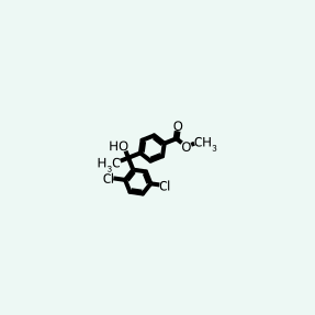 COC(=O)c1ccc(C(C)(O)c2cc(Cl)ccc2Cl)cc1